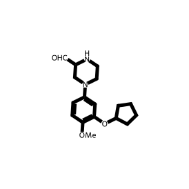 COc1ccc(N2CCNC(C=O)C2)cc1OC1CCCC1